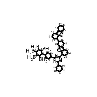 Bc1c(B)c(B)c(-c2ccc(-c3nc(-c4ccccc4)nc(-c4cccc5c4oc4cc(-c6cccc7c6oc6ccccc67)ccc45)n3)cc2)c(B)c1B